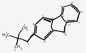 CC(C)(C)Cc1ccc2c(c1)[CH]c1ccccc1-2